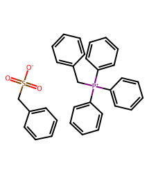 O=S(=O)([O-])Cc1ccccc1.c1ccc(C[P+](c2ccccc2)(c2ccccc2)c2ccccc2)cc1